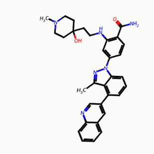 Cc1nn(-c2ccc(C(N)=O)c(NCCC3(O)CCN(C)CC3)c2)c2cccc(-c3cnc4ccccc4c3)c12